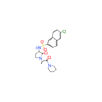 C[C@H](C(=O)N1CCCCC1)N1CCC(NS(=O)(=O)c2ccc3cc(Cl)ccc3c2)C1=O